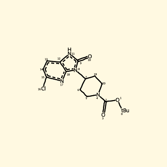 CC(C)(C)OC(=O)N1CCC(n2c(=O)[nH]c3ccc(Cl)nc32)CC1